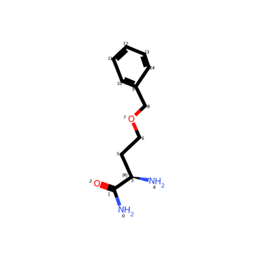 NC(=O)[C@H](N)CCOCc1ccccc1